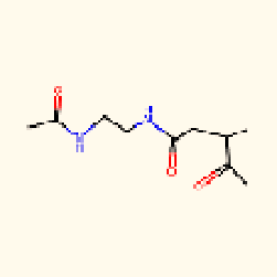 CC(=O)NCCNC(=O)CC(C)C(C)=O